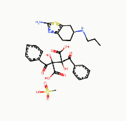 CCCN[C@H]1CCc2nc(N)sc2C1.CS(=O)(=O)O.O=C(O)C(O)(C(=O)c1ccccc1)C(O)(C(=O)O)C(=O)c1ccccc1